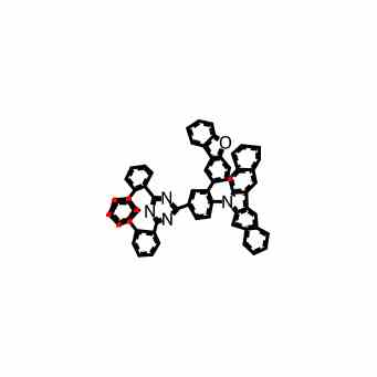 c1ccc(-c2ccccc2-c2nc(-c3ccc(-n4c5cc6ccccc6cc5c5cc6ccccc6cc54)c(-c4ccc5oc6ccccc6c5c4)c3)nc(-c3ccccc3-c3ccccc3)n2)cc1